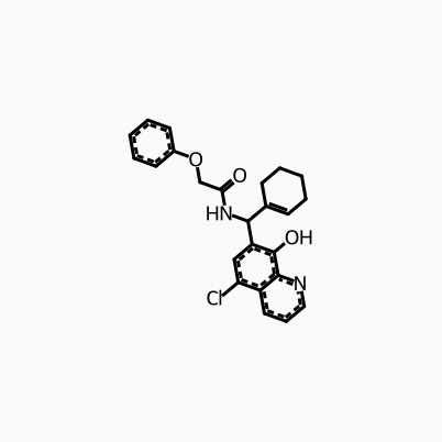 O=C(COc1ccccc1)NC(C1=CCCCC1)c1cc(Cl)c2cccnc2c1O